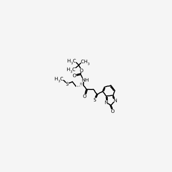 CSCC[C@H](NC(=O)OC(C)(C)C)C(=O)CC(=S)c1cccc2c1=NC(=O)N=2